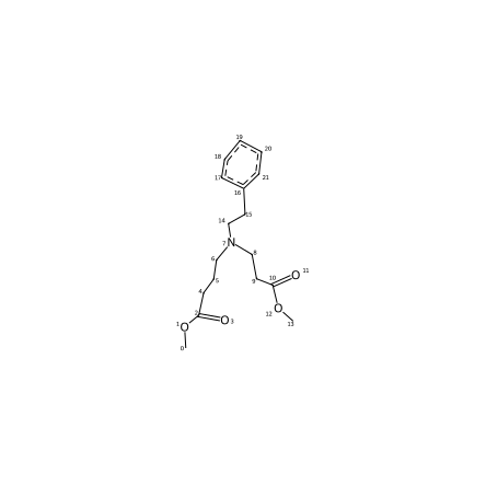 COC(=O)CCCN(CCC(=O)OC)CCc1ccccc1